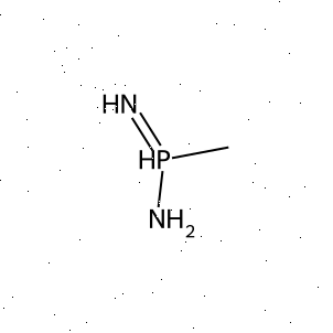 C[PH](=N)N